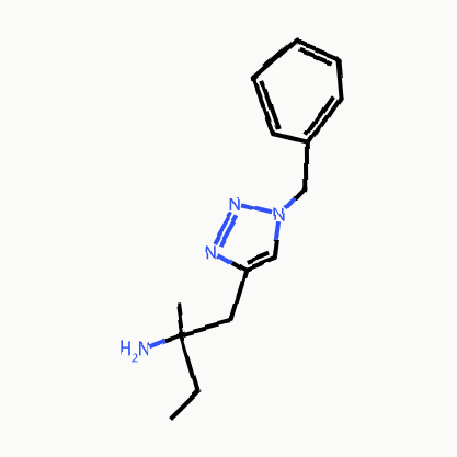 CCC(C)(N)Cc1cn(Cc2ccccc2)nn1